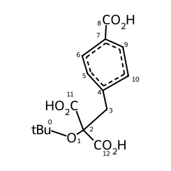 CC(C)(C)OC(Cc1ccc(C(=O)O)cc1)(C(=O)O)C(=O)O